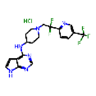 Cl.FC(F)(F)c1ccc(C(F)(F)CN2CCC(Nc3ncnc4[nH]ccc34)CC2)nc1